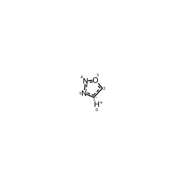 [H+].[c]1conn1